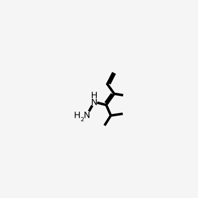 C=C/C(C)=C(\NN)C(C)C